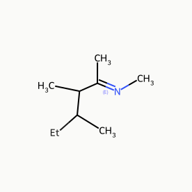 CCC(C)C(C)/C(C)=N/C